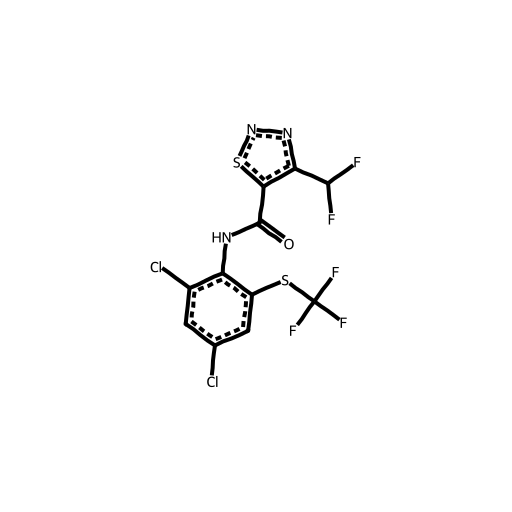 O=C(Nc1c(Cl)cc(Cl)cc1SC(F)(F)F)c1snnc1C(F)F